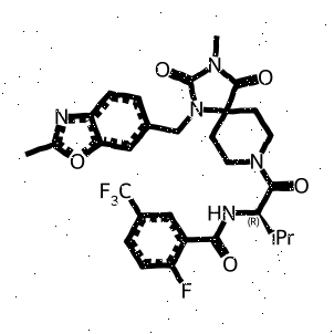 Cc1nc2ccc(CN3C(=O)N(C)C(=O)C34CCN(C(=O)[C@H](NC(=O)c3cc(C(F)(F)F)ccc3F)C(C)C)CC4)cc2o1